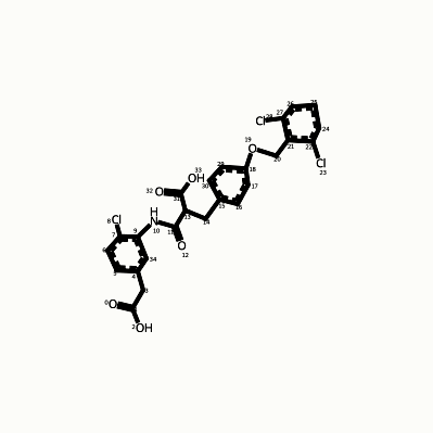 O=C(O)Cc1ccc(Cl)c(NC(=O)C(Cc2ccc(OCc3c(Cl)cccc3Cl)cc2)C(=O)O)c1